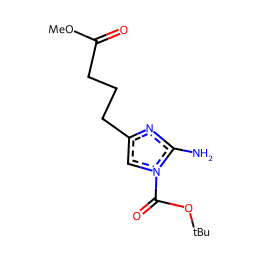 COC(=O)CCCc1cn(C(=O)OC(C)(C)C)c(N)n1